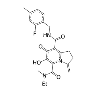 C=C1CCc2c(C(=O)NCc3ccc(C)cc3F)c(=O)c(O)c(C(=O)N(C)CC)n21